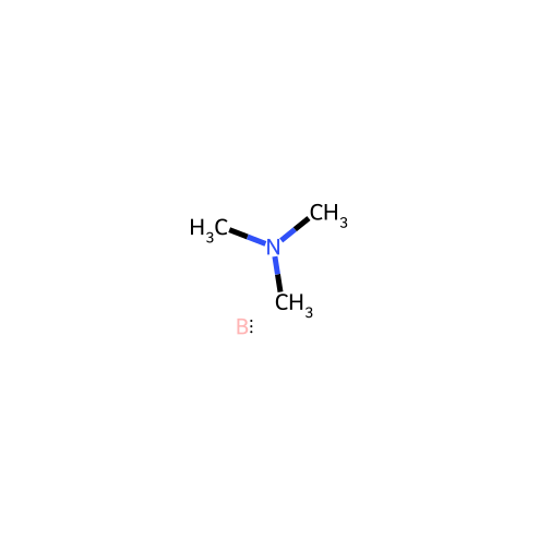 CN(C)C.[B]